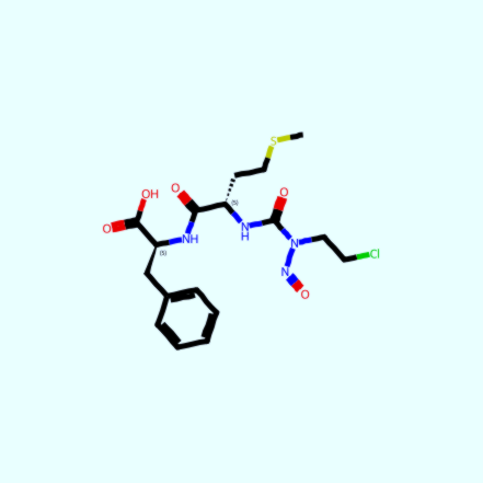 CSCC[C@H](NC(=O)N(CCCl)N=O)C(=O)N[C@@H](Cc1ccccc1)C(=O)O